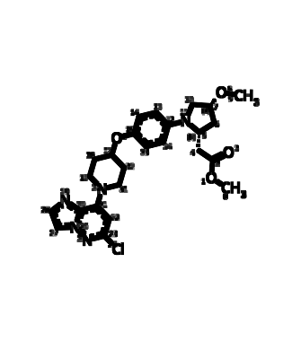 COC(=O)C[C@H]1C[C@@H](OC)CN1c1ccc(OC2CCN(c3cc(Cl)nn4ccnc34)CC2)cc1